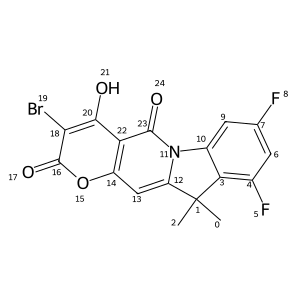 CC1(C)c2c(F)cc(F)cc2-n2c1cc1oc(=O)c(Br)c(O)c1c2=O